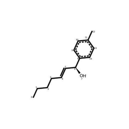 CCCCC=C[C@H](O)c1ccc(C)cc1